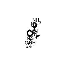 CC(C)n1nc(-c2ccc(N)nc2)c2c1-c1sc(NC(=O)N(C)C)nc1CCC2